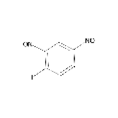 O=Nc1ccc(I)c(N=O)c1